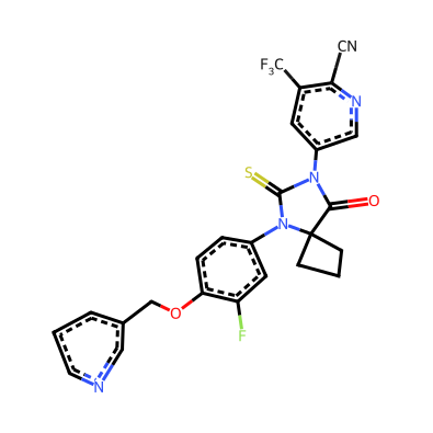 N#Cc1ncc(N2C(=O)C3(CCC3)N(c3ccc(OCc4cccnc4)c(F)c3)C2=S)cc1C(F)(F)F